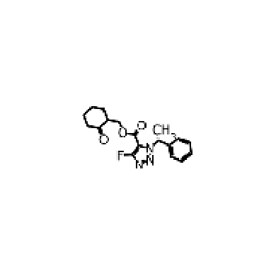 C[C@H](c1ccccc1)n1nnc(F)c1C(=O)OCC1CCCCC1=O